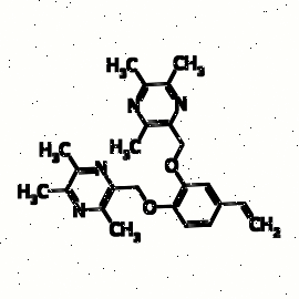 C=Cc1ccc(OCc2nc(C)c(C)nc2C)c(OCc2nc(C)c(C)nc2C)c1